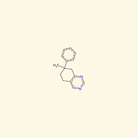 CC1(c2ccccc2)CCc2[c]ncnc2C1